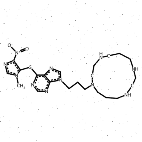 Cn1cnc([N+](=O)[O-])c1Sc1ncnc2c1ncn2CCCN1CCCNCCNCCCNCC1